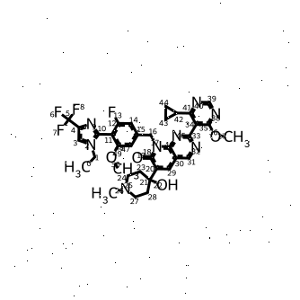 CCn1cc(C(F)(F)F)nc1-c1c(F)cc(Cn2c(=O)c(C3(O)CCN(C)CC3)cc3cnc(-c4c(OC)ncnc4C4CC4)nc32)cc1OC